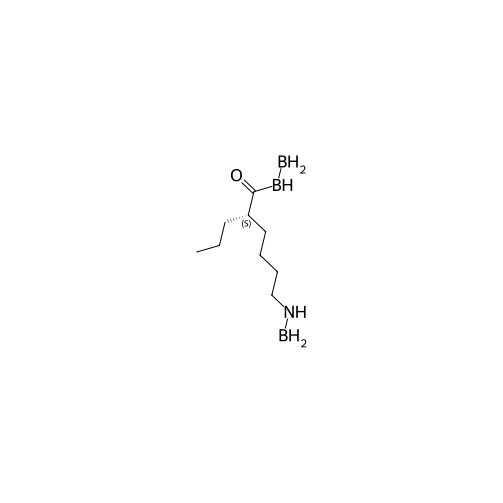 BBC(=O)[C@@H](CCC)CCCCNB